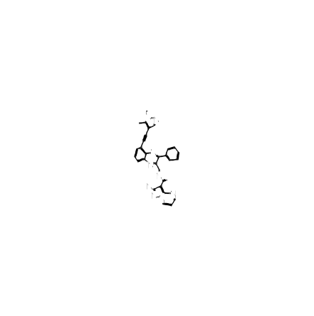 Cc1c(C#Cc2cccc3nc([C@H](C)NC(=O)c4c(N)nn5cccnc45)c(-c4ccccc4)nc23)cnn1C